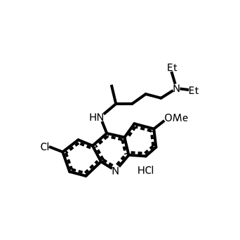 CCN(CC)CCCC(C)Nc1c2cc(Cl)ccc2nc2ccc(OC)cc12.Cl